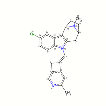 Cc1cc2c(cn1)C/C2=C\n1c2c(c3cc(Cl)ccc31)C1CCC(C2)N1C